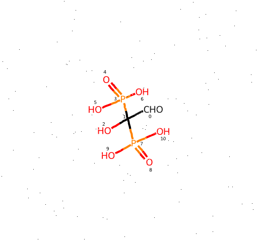 O=CC(O)(P(=O)(O)O)P(=O)(O)O